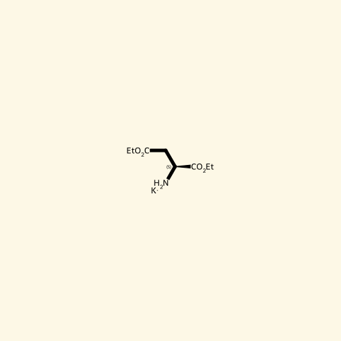 CCOC(=O)C[C@H](N)C(=O)OCC.[K]